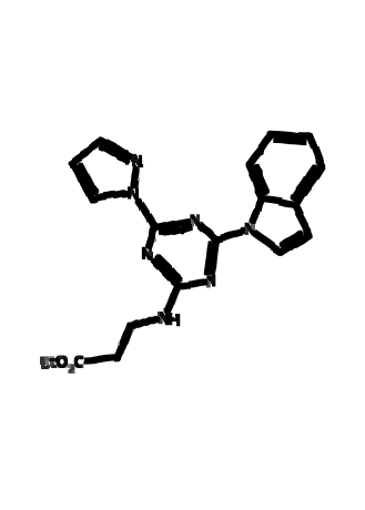 CCOC(=O)CCNc1nc(-n2cccn2)nc(-n2ccc3ccccc32)n1